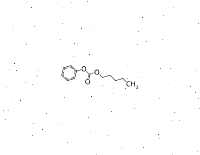 CCCCCOC(=O)Oc1ccccc1